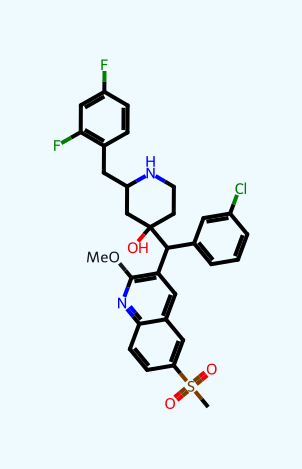 COc1nc2ccc(S(C)(=O)=O)cc2cc1C(c1cccc(Cl)c1)C1(O)CCNC(Cc2ccc(F)cc2F)C1